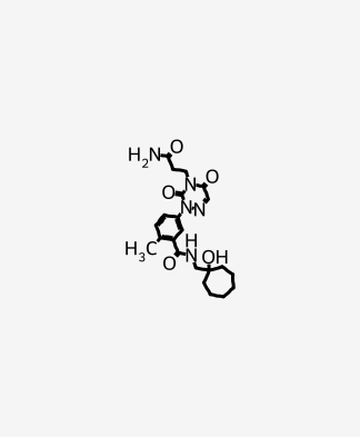 Cc1ccc(-n2ncc(=O)n(CCC(N)=O)c2=O)cc1C(=O)NCC1(O)CCCCCC1